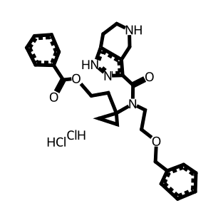 Cl.Cl.O=C(OCCC1(N(CCOCc2ccccc2)C(=O)c2n[nH]c3c2CNCC3)CC1)c1ccccc1